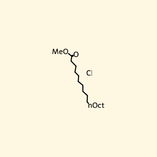 CCCCCCCCCCCCCCCCCC(=O)OC.[C]